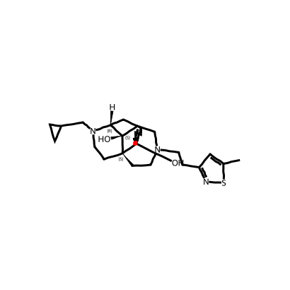 Cc1cc(CCN2CC[C@]34CCN(CC5CC5)[C@H](Cc5ccc(O)cc53)[C@]4(O)CC2)ns1